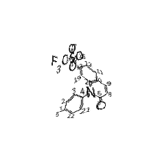 Cc1ccc(-n2c(=O)ccc3ccc(OS(=O)(=O)C(F)(F)F)cc32)cc1